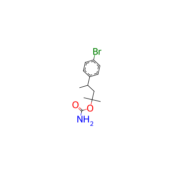 CC(CC(C)(C)OC(N)=O)c1ccc(Br)cc1